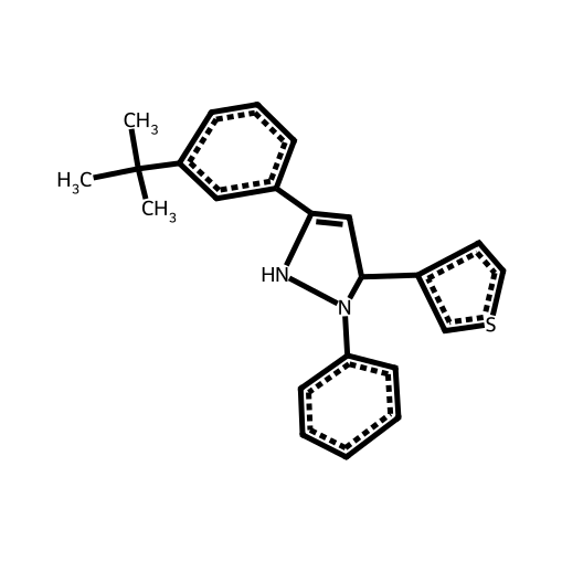 CC(C)(C)c1cccc(C2=CC(c3ccsc3)N(c3ccccc3)N2)c1